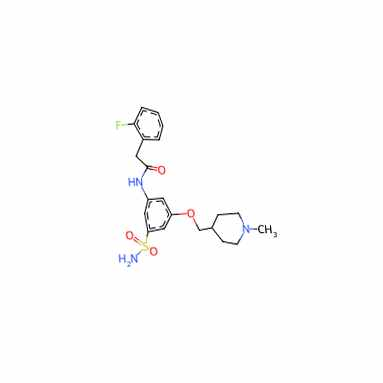 CN1CCC(COc2cc(NC(=O)Cc3ccccc3F)cc(S(N)(=O)=O)c2)CC1